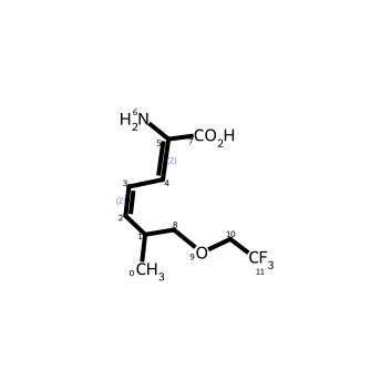 CC(/C=C\C=C(/N)C(=O)O)COCC(F)(F)F